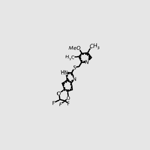 COc1c(C)cnc(CSc2nc3cc4c(cc3[nH]2)OC(F)C(F)(F)O4)c1C